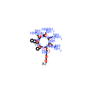 CC(=O)COCCOCCNC(=O)CC[C@@H]1NC(=O)[C@@H](CCCNC(=N)N)NC(=O)[C@H](CCCNC(=N)N)NC(=O)C2(C[C@H]2CCNC(=N)N)NC(=O)[C@H](CCCNC(=N)N)NC(=O)[C@H](Cc2ccc3ccccc3c2)NC(=O)[C@@H](Cc2ccccc2)NC1=O